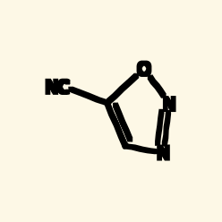 N#Cc1cnno1